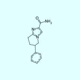 NC(=O)c1cn2c(n1)CCC(c1ccccc1)C2